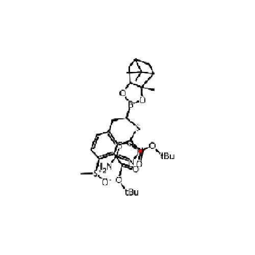 C[S+]([O-])c1ccc(C[C@H](Sc2nnc(N)s2)B2OC3CC4CC(C4(C)C)[C@]3(C)O2)c(OC(=O)OC(C)(C)C)c1C(=O)OC(C)(C)C